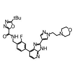 CC(C)(C)c1nnc(C(=O)NCc2ccc(-c3ccnc4[nH]c(-c5cnn(CCN6CCOCC6)c5)nc34)cc2F)o1